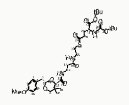 COc1ccc(C[C@H]2OCC(C)(C)[C@H](C(=O)NCCC(=O)NCCSC(=O)CC[C@H](NC(=O)OC(C)(C)C)C(=O)OC(C)(C)C)O2)cc1